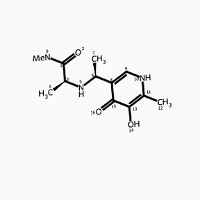 CNC(=O)[C@H](C)N[C@@H](C)c1c[nH]c(C)c(O)c1=O